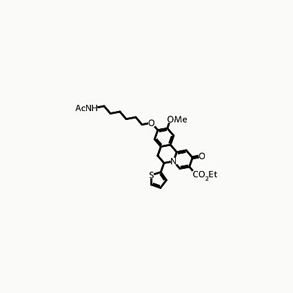 CCOC(=O)c1cn2c(cc1=O)-c1cc(OC)c(OCCCCCCNC(C)=O)cc1CC2c1cccs1